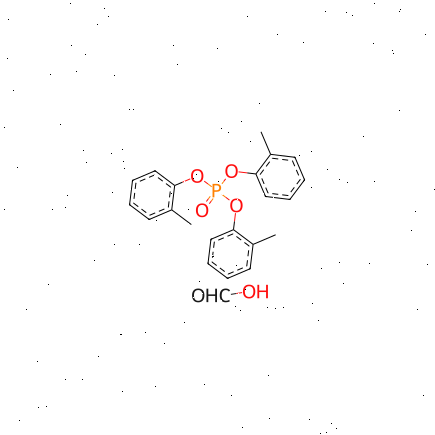 Cc1ccccc1OP(=O)(Oc1ccccc1C)Oc1ccccc1C.O=CO